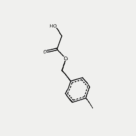 Cc1ccc(COC(=O)CO)cc1